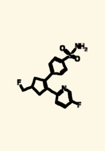 NS(=O)(=O)c1ccc(C2=C(c3ccc(F)cn3)CC(CF)C2)cc1